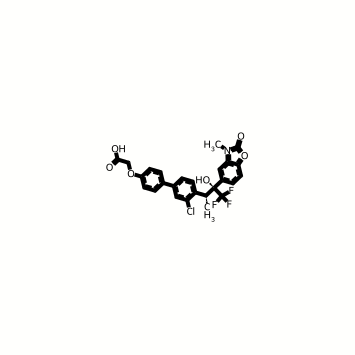 C[C@H](c1ccc(-c2ccc(OCC(=O)O)cc2)cc1Cl)[C@@](O)(c1ccc2oc(=O)n(C)c2c1)C(F)(F)F